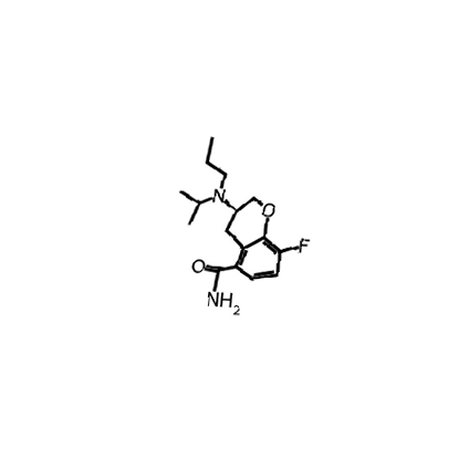 CCCN(C(C)C)[C@H]1COc2c(F)ccc(C(N)=O)c2C1